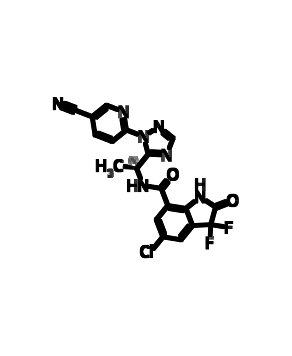 C[C@H](NC(=O)c1cc(Cl)cc2c1NC(=O)C2(F)F)c1ncnn1-c1ccc(C#N)cn1